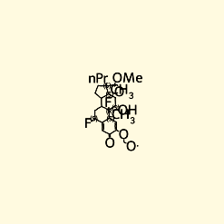 CCC[C@]1(C(=O)OC)CCC2C3C[C@H](F)C4=CC(=O)C(OC[O])=C[C@]4(C)[C@@]3(F)[C@@H](O)C[C@@]21C